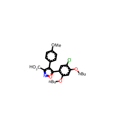 CCCCOc1cc(OCCCC)c(-c2onc(C(=O)O)c2-c2ccc(OC)cc2)cc1Cl